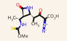 COC(=S)N[C@H](C)[C@H]1C(=O)N[C@@H]1C(C)C(=O)C(=[N+]=[N-])C(=O)O